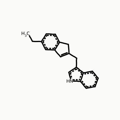 CCc1ccc2c(c1)C=C(Cc1c[nH]c3ccccc13)C2